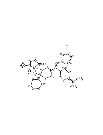 CN(C)[C@H]1CCC(C(=O)N2CCC(CN3C(=O)OCC3(C)C)(C3CCCCC3)CC2)[C@H](c2ccc(Cl)cc2)C1